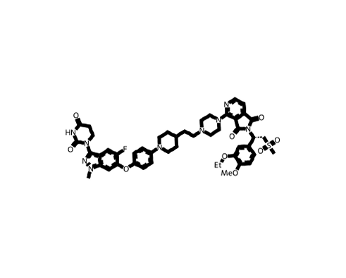 CCOc1cc([C@@H](CS(C)(=O)=O)N2C(=O)c3ccnc(N4CCN(CCC5CCN(c6ccc(Oc7cc8c(cc7F)c(N7CCC(=O)NC7=O)nn8C)cc6)CC5)CC4)c3C2=O)ccc1OC